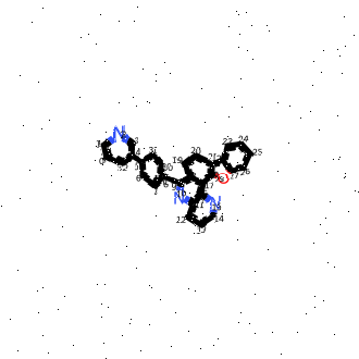 c1cncc(-c2ccc(-c3nc4cccnc4c4c3ccc3c5ccccc5oc34)cc2)c1